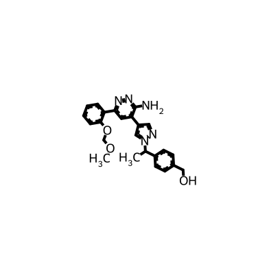 COCOc1ccccc1-c1cc(-c2cnn(C(C)c3ccc(CO)cc3)c2)c(N)nn1